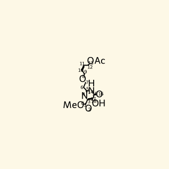 COC(=O)c1nc(CCOC/C=C\COC(C)=O)[nH]c(=O)c1O